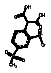 CS(=O)(=O)c1ccc(C(C(=O)O)C(=O)O)c([N+](=O)[O-])c1